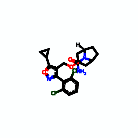 NC(=O)N1C2CC[C@H]1CC(OCc1c(-c3c(Cl)cccc3Cl)noc1C1CC1)C2